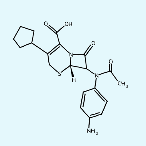 CC(=O)N(c1ccc(N)cc1)C1C(=O)N2C(C(=O)O)=C(C3CCCC3)CS[C@@H]12